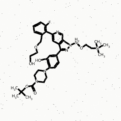 CC(C)(C)OC(=O)N1CCN(c2ccc(-c3nn([SiH2]OCC[Si](C)(C)C)c4cnc(-c5c(F)cccc5COCCO)cc34)cc2O)CC1